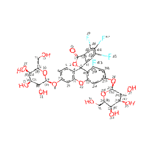 O=C1OC2(c3ccc(O[C@@H]4O[C@H](CO)[C@H](O)[C@H](O)[C@H]4O)cc3Oc3cc(O[C@@H]4O[C@H](CO)[C@H](O)[C@H](O)[C@H]4O)ccc32)c2c(F)c(F)c(F)c(F)c21